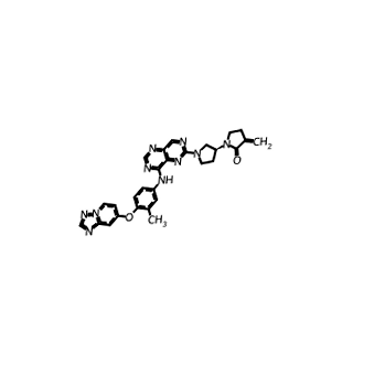 C=C1CCN([C@H]2CCN(c3ncc4ncnc(Nc5ccc(Oc6ccn7ncnc7c6)c(C)c5)c4n3)C2)C1=O